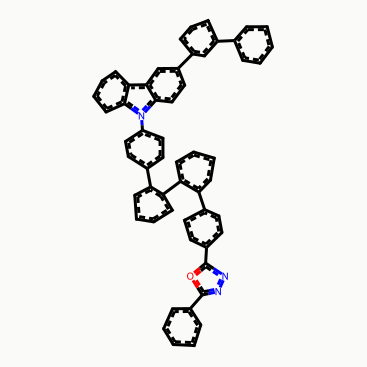 c1ccc(-c2cccc(-c3ccc4c(c3)c3ccccc3n4-c3ccc(-c4ccccc4-c4ccccc4-c4ccc(-c5nnc(-c6ccccc6)o5)cc4)cc3)c2)cc1